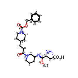 CCOC(=NC1CCCN(C(=O)CCC2CCN(C(=O)OCc3ccccc3)CC2)C1)[C@H](N)CC(=O)O